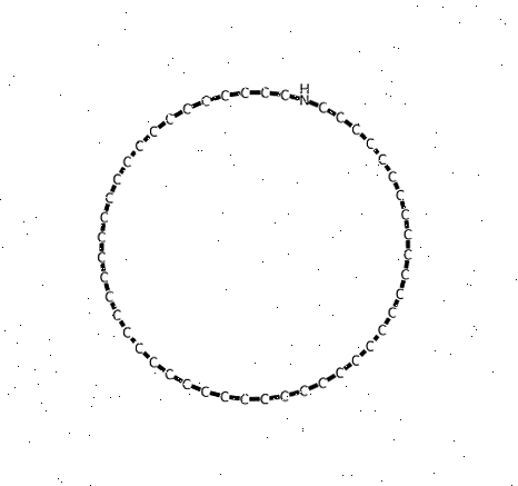 C1CCCCCCCCCCCCCCCCCCCCCCCNCCCCCCCCCCCCCCCCCCCCCCC1